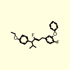 CCOc1ccc(C(C(F)=CCc2ccc(F)c(Oc3ccccc3)c2)C(C)C)cc1